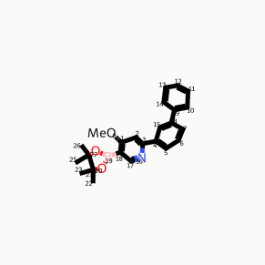 COc1cc(-c2cccc(-c3ccccc3)c2)ncc1B1OC(C)(C)C(C)(C)O1